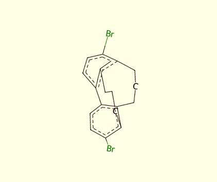 Brc1ccc2c3c1CCCc1c-2ccc(Br)c1CCC3